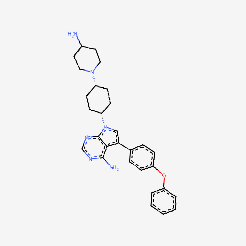 Nc1ncnc2c1c(-c1ccc(Oc3ccccc3)cc1)cn2[C@H]1CC[C@@H](N2CCC(N)CC2)CC1